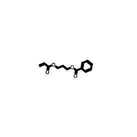 C=CC(=O)OCCCOC(=O)c1ccccc1